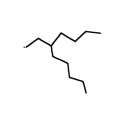 [CH2]CC(CCCC)CCCCC